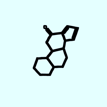 O=C1CC2C3CCCCC3CCC2C2C=CC=C12